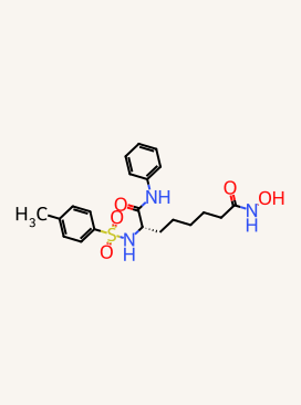 Cc1ccc(S(=O)(=O)N[C@@H](CCCCCC(=O)NO)C(=O)Nc2ccccc2)cc1